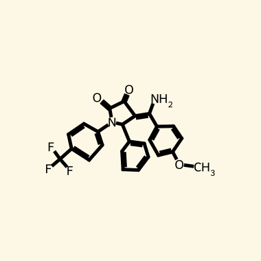 COc1ccc(/C(N)=C2/C(=O)C(=O)N(c3ccc(C(F)(F)F)cc3)C2c2ccccc2)cc1